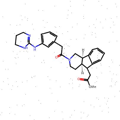 COC(=O)CC1c2ccccc2[C@@H]2CN(C(=O)Cc3cccc(NC4=NCCCN4)c3)CC[C@H]12